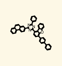 c1ccc(-c2ccc(-c3ccc(-c4nc(-c5ccccc5)nc(-c5ccc6c(ccc7ccccc76)c5)n4)c4c3oc3ccccc34)cc2)cc1